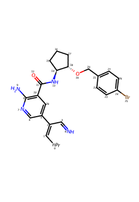 CCC/C=C(\C=N)c1cnc(N)c(C(=O)N[C@H]2CCC[C@@H]2OCc2ccc(Br)cc2)c1